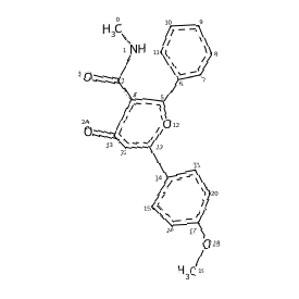 CNC(=O)c1c(-c2ccccc2)oc(-c2ccc(OC)cc2)cc1=O